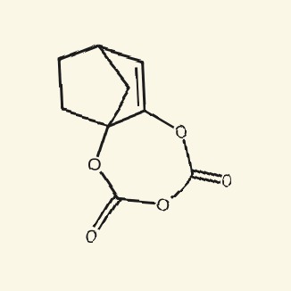 O=C1OC(=O)OC23CCC(C=C2O1)C3